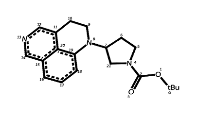 CC(C)(C)OC(=O)N1CCC(N2CCc3cncc4cccc2c34)C1